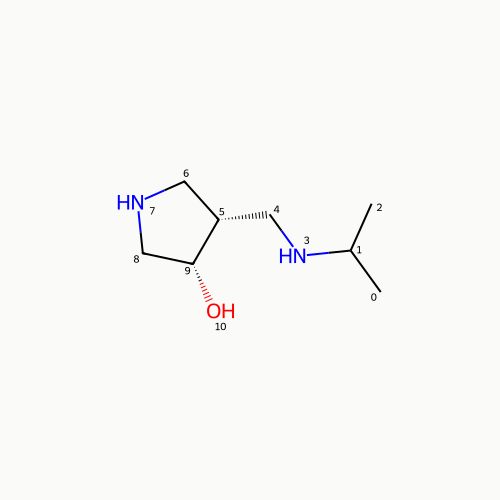 CC(C)NC[C@H]1CNC[C@H]1O